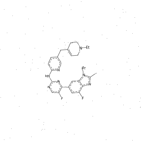 CCN1CC=C(Cc2ccc(Nc3ncc(F)c(-c4cc(F)c5nc(C)n(C(C)C)c5c4)n3)nc2)CC1